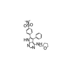 CN(C)S(=O)(=O)c1ccc(-c2[nH]c3ncnc(NCC4CCCO4)c3c2-c2ccccc2)cc1